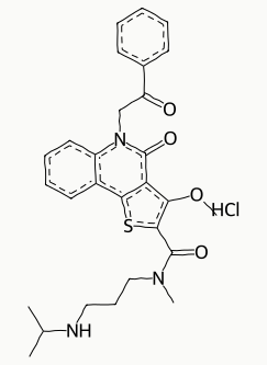 COc1c(C(=O)N(C)CCCNC(C)C)sc2c1c(=O)n(CC(=O)c1ccccc1)c1ccccc21.Cl